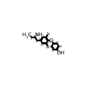 CC[C@H](N)Cc1cc(I)c(Oc2ccc(O)cc2)c(I)c1